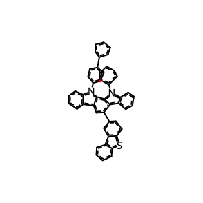 c1ccc(-c2ccc(-n3c4ccccc4c4cc(-c5ccc6sc7ccccc7c6c5)c5c6ccccc6n(-c6ccccc6)c5c43)cc2)cc1